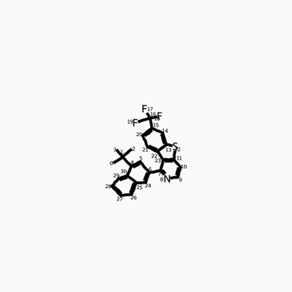 CC(C)(C)c1cc(-c2nccc3sc4cc(C(F)(F)F)ccc4c23)cc2ccccc12